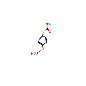 NC(=O)Sc1ccc(OC(=O)O)cc1